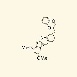 COc1cc(OC)c2c(c1)N(CC1CCN(CC3COc4ccccc4O3)CC1)C(N)S2